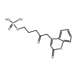 O=C(CCCOP(=O)(O)O)Cc1cc(=O)oc2ccccc12